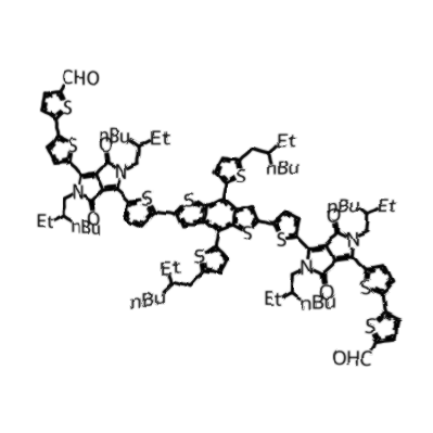 CCCCC(CC)Cc1ccc(-c2c3cc(-c4ccc(C5=C6C(=O)N(CC(CC)CCCC)C(c7ccc(-c8ccc(C=O)s8)s7)=C6C(=O)N5CC(CC)CCCC)s4)sc3c(-c3ccc(CC(CC)CCCC)s3)c3cc(-c4ccc(C5=C6C(=O)N(CC(CC)CCCC)C(c7ccc(-c8ccc(C=O)s8)s7)=C6C(=O)N5CC(CC)CCCC)s4)sc23)s1